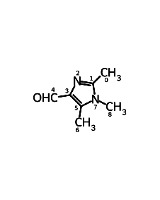 Cc1nc(C=O)c(C)n1C